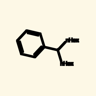 CCCCCC[C](CCCCCC)c1ccccc1